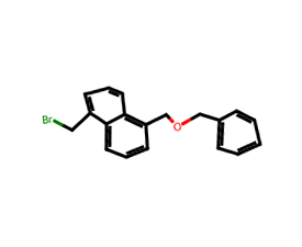 BrCc1cccc2c(COCc3ccccc3)cccc12